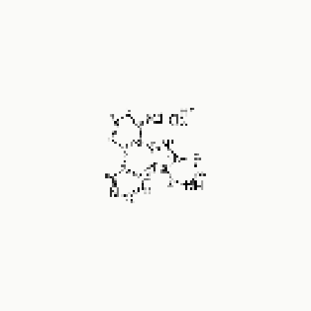 Clc1ccccc1-c1nn2c(c1-c1ccncc1)CNCC2.[Cl-].[H+]